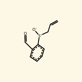 C=CC[S+]([O-])c1ccccc1[C]=O